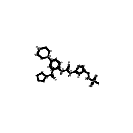 CS(=O)(=O)NCc1nsc(NC(=O)Nc2ccc(N3CCOCC3)cc2C(=O)C2CCCC2)n1